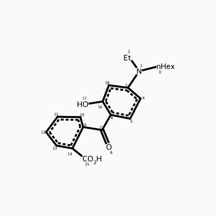 CCCCCCN(CC)c1ccc(C(=O)c2ccccc2C(=O)O)c(O)c1